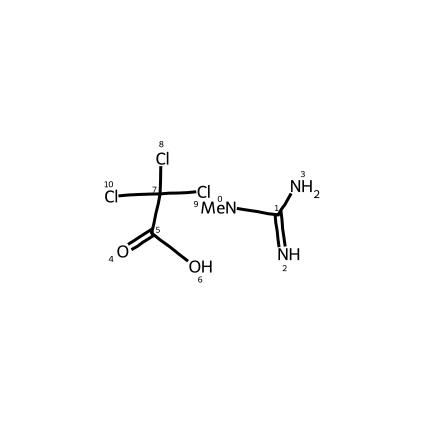 CNC(=N)N.O=C(O)C(Cl)(Cl)Cl